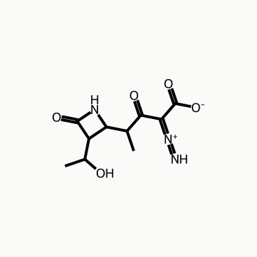 CC(O)C1C(=O)NC1C(C)C(=O)C(=[N+]=N)C(=O)[O-]